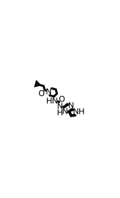 O=C(Nc1cnc2[nH]ccc2n1)NC1CCCN(C(=O)CC2CC2)C1